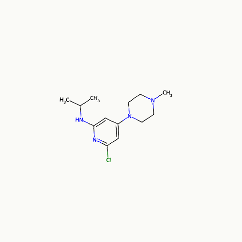 CC(C)Nc1cc(N2CCN(C)CC2)cc(Cl)n1